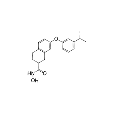 CC(C)c1cccc(Oc2ccc3c(c2)CC(C(=O)NO)CC3)c1